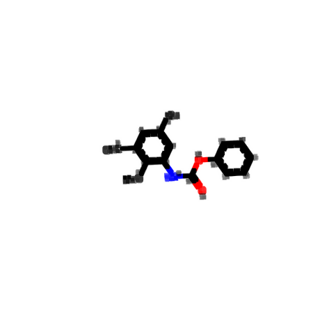 COc1c(C=O)cc(C(C)(C)C)cc1NC(=O)Oc1ccccc1